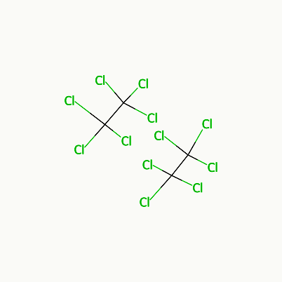 ClC(Cl)(Cl)C(Cl)(Cl)Cl.ClC(Cl)(Cl)C(Cl)(Cl)Cl